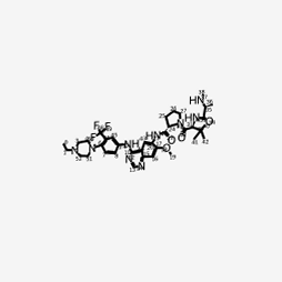 CCN1CCN(c2ccc(Nc3ncnc4cc(OC)c(NC(=O)[C@@H]5CCCN5C(=O)[C@@H](NC(=O)[C@H](C)NC)C(C)(C)C)cc34)cc2C(F)(F)F)CC1